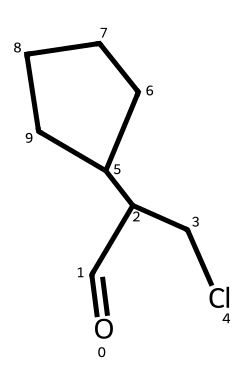 O=CC(CCl)C1CCCC1